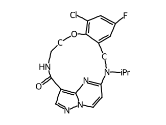 CC(C)N1Cc2cc(F)cc(Cl)c2OCCNC(=O)c2cnn3ccc1nc23